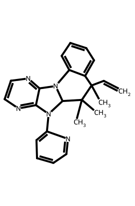 C=CC1(C)c2ccccc2N2c3nccnc3N(c3ccccn3)C2C1(C)C